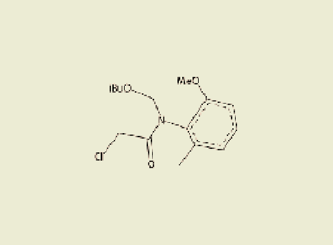 COc1cccc(C)c1N(COCC(C)C)C(=O)CCl